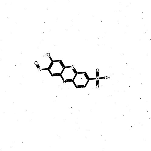 O=Nc1cc2nc3ccc(S(=O)(=O)O)cc3nc2cc1O